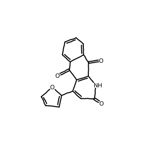 O=C1c2ccccc2C(=O)c2c(-c3ccco3)cc(=O)[nH]c21